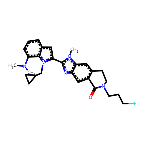 CN(C)c1cccc2cc(-c3nc4cc5c(cc4n3C)CCN(CCCF)C5=O)n(CC3CC3)c12